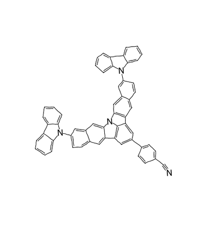 N#Cc1ccc(-c2cc3c4cc5ccc(-n6c7ccccc7c7ccccc76)cc5cc4n4c5cc6cc(-n7c8ccccc8c8ccccc87)ccc6cc5c(c2)c34)cc1